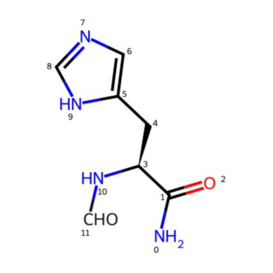 NC(=O)[C@H](Cc1cnc[nH]1)NC=O